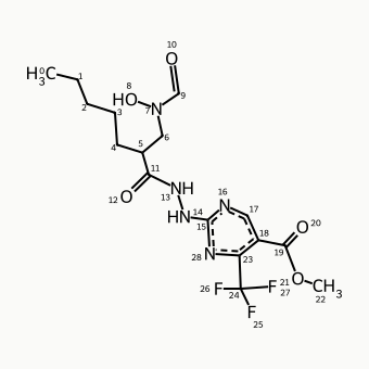 CCCCCC(CN(O)C=O)C(=O)NNc1ncc(C(=O)OC)c(C(F)(F)F)n1